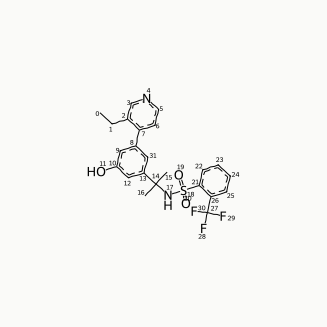 CCc1cnccc1-c1cc(O)cc(C(C)(C)NS(=O)(=O)c2ccccc2C(F)(F)F)c1